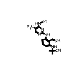 CC(C)Nc1nc(Nc2cccc(NC(C)(C)C#N)c2C=N)ncc1C(F)(F)F